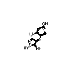 CC(C)N1N=CC(=Nc2ccc(O)cc2N)C1=N